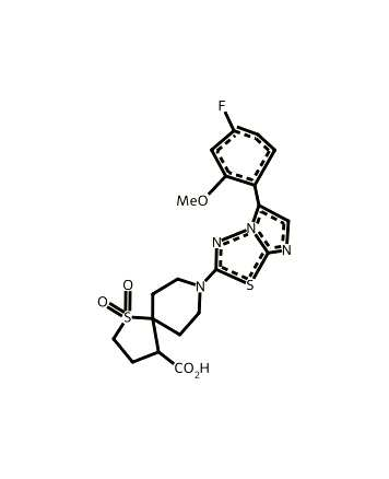 COc1cc(F)ccc1-c1cnc2sc(N3CCC4(CC3)C(C(=O)O)CCS4(=O)=O)nn12